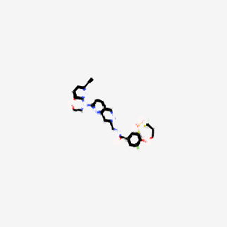 C#Cc1ccc2c(n1)N(c1ccc3cnc(CNC(=O)c4cc(F)c5c(c4)S(=O)(=O)[C@@H](F)CCO5)cc3n1)CCO2